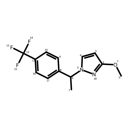 COc1ccn(C(C)c2ccc(C(F)(F)F)cc2)n1